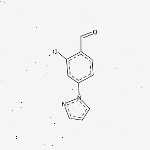 O=Cc1ccc(-n2cccn2)cc1Cl